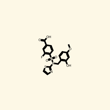 COc1ccc(CN(c2nccs2)S(=O)(=O)c2ccc(C(=O)O)cc2F)c(O)c1